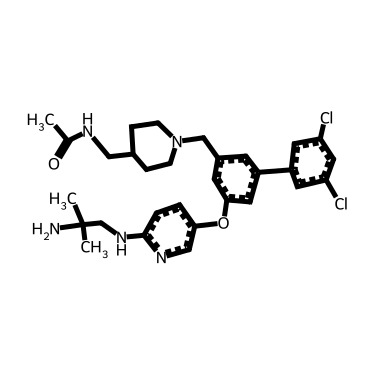 CC(=O)NCC1CCN(Cc2cc(Oc3ccc(NCC(C)(C)N)nc3)cc(-c3cc(Cl)cc(Cl)c3)c2)CC1